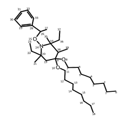 CCCCCCCCOC1(OCCCCCCCC)CC(C)(CC)N(OC(C)c2ccccc2)C(C)(CC)C1C